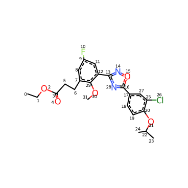 CCOC(=O)CCc1cc(F)cc(-c2noc(-c3ccc(OC(C)C)c(Cl)c3)n2)c1OC